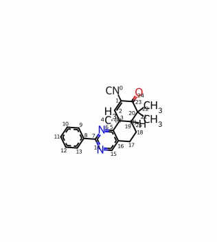 [C-]#[N+]C1=C[C@]2(C)c3nc(-c4ccccc4)ncc3CC[C@H]2C(C)(C)C1=O